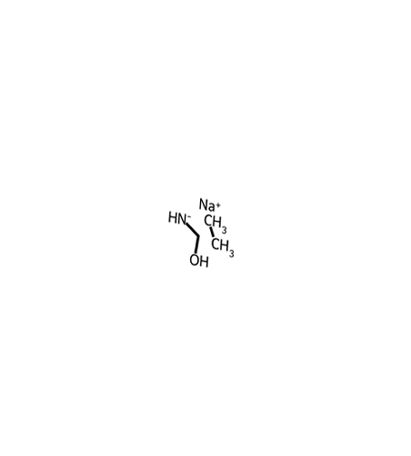 CC.[NH-]CO.[Na+]